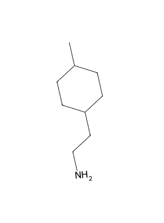 CC1CCC(CCN)CC1